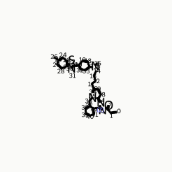 C=CC(=O)/N=C1\N=C2C=CC(CCCCN(C)c3ccc(-c4sc5cc(C)ccc5[n+]4C)cc3)=CN2Cc2ccccc21